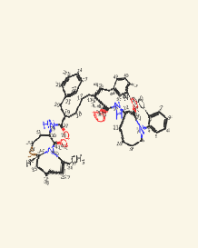 COc1ccccc1N1CCCCC(NC(=O)C(CCC(Cc2ccccc2)C(=O)NC2CCS[C@H]3CCCC(C)N3C2=O)Cc2ccccc2)C1=O